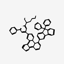 CCCCC(CC)c1cc(C2=CC3=c4c#cccc4=C4C=CC=C(c5ccc6c(c5)-c5ccccc5C6(c5ccccc5)c5ccccc5)C4C3C=C2)cc(-c2ccccc2)n1